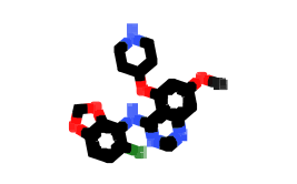 CCOc1cc(OC2CCNCC2)c2c(Nc3c(Cl)ccc4c3OCO4)ncnc2c1